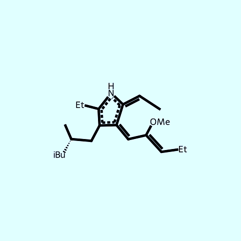 C/C=c1/[nH]c(CC)c(C[C@@H](C)C(C)CC)/c1=C/C(=C/CC)OC